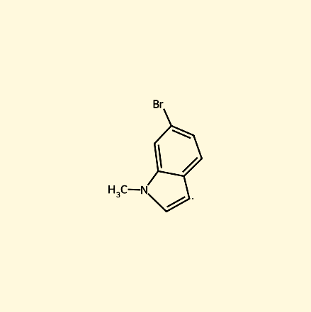 Cn1c[c]c2ccc(Br)cc21